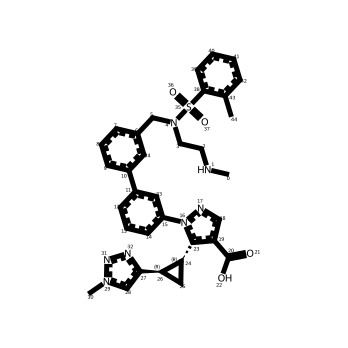 CNCCN(Cc1cccc(-c2cccc(-n3ncc(C(=O)O)c3[C@@H]3C[C@H]3c3cn(C)nn3)c2)c1)S(=O)(=O)c1ccccc1C